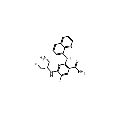 CC(C)C[C@H](CN)Nc1nc(Nc2cccc3cccnc23)c(C(N)=O)cc1F